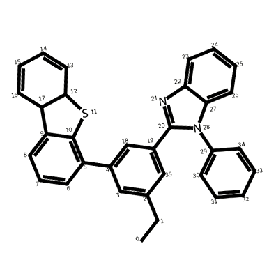 CCc1cc(-c2cccc3c2SC2C=CC=CC32)cc(-c2nc3ccccc3n2-c2ccccc2)c1